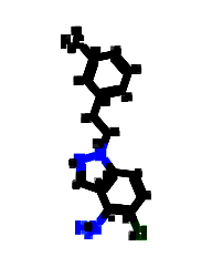 Nc1c(Cl)ccc2c1cnn2CCc1cccc(C(F)(F)F)c1